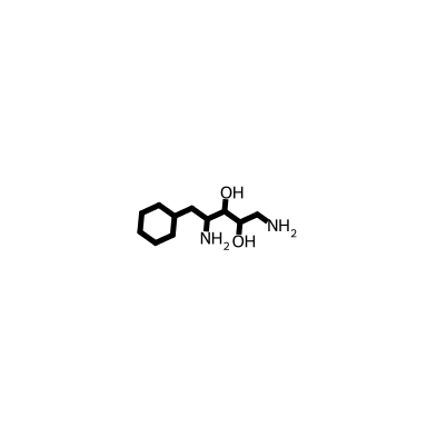 NCC(O)C(O)C(N)CC1CCCCC1